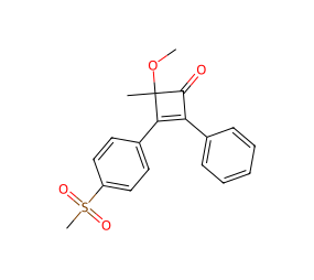 COC1(C)C(=O)C(c2ccccc2)=C1c1ccc(S(C)(=O)=O)cc1